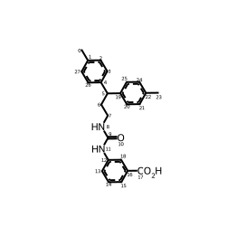 Cc1ccc(C(CCNC(=O)Nc2cccc(C(=O)O)c2)c2ccc(C)cc2)cc1